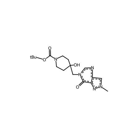 Cn1cc2ncn(CC3(O)CCN(C(=O)OC(C)(C)C)CC3)c(=O)c2n1